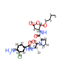 CCCCO[C@@H]1OC(=O)CC1NC(=O)[C@@H]1CCCN1C(=O)[C@H](C)NC(=O)c1ccc(N)c(Cl)c1